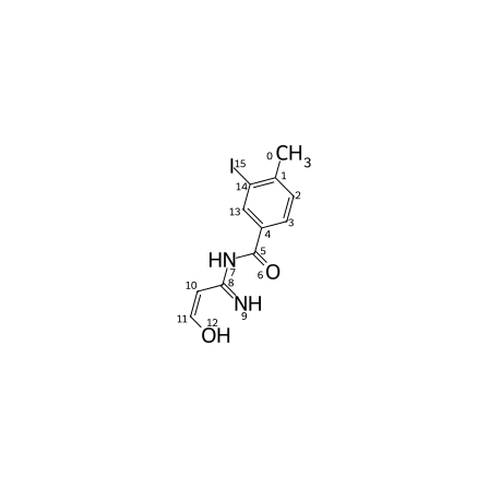 Cc1ccc(C(=O)NC(=N)/C=C\O)cc1I